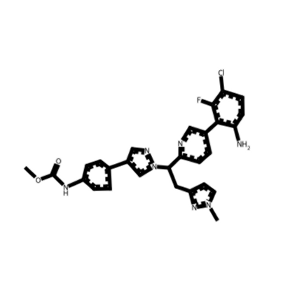 COC(=O)Nc1ccc(-c2cnn(C(Cc3ccn(C)n3)c3ccc(-c4c(N)ccc(Cl)c4F)cn3)c2)cc1